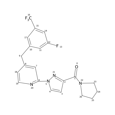 O=C(c1ccn(-c2cc(Cc3cc(F)cc(C(F)(F)F)c3)ccn2)n1)N1CCCC1